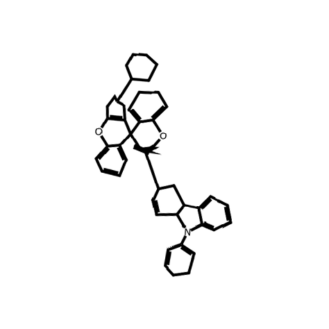 C1=CC(N2c3ccccc3C3CC(C4=CC5OC6=CCCC=C6C6(C7=C(CCC(C8CCCCC8)C7)Oc7ccccc76)C5C=C4)C=CC32)=CCC1